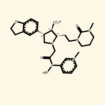 CCCCN(C(=O)CN1C[C@H](c2ccc3c(c2)CCO3)[C@@H](C(=O)O)[C@@H]1CCN1CCCN(C)C1=O)c1ccc[n+](C)c1